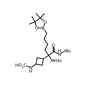 CC(=O)NC(CCCCB1OC(C)(C)C(C)(C)O1)(C(=O)NC(C)(C)C)C1CC(NC(=O)O)C1